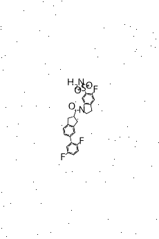 NS(=O)(=O)c1cc2c(cc1F)CCN2C(=O)C1Cc2ccc(-c3cc(F)ccc3F)cc2C1